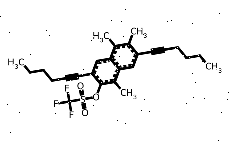 CCCCC#Cc1cc2c(C)c(OS(=O)(=O)C(F)(F)F)c(C#CCCCC)cc2c(C)c1C